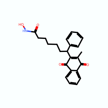 CC1=C(C(CCCCCC(=O)NO)c2ccccc2)C(=O)c2ccccc2C1=O